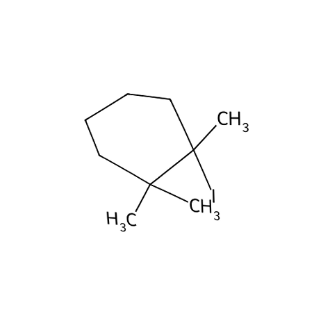 CC1(C)CCCCC1(C)I